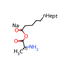 CCCCCCCCCCCC(=O)OC(=O)[C@H](C)N.[Na]